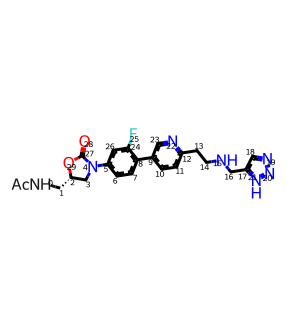 CC(=O)NC[C@H]1CN(c2ccc(-c3ccc(CCNCc4cnn[nH]4)nc3)c(F)c2)C(=O)O1